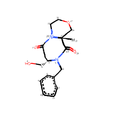 O=C1[C@@H](CO)N(Cc2ccccc2)C(=O)[C@H]2COCCN12